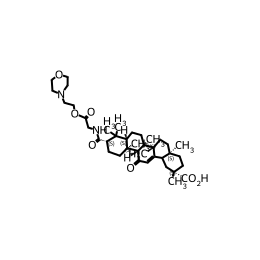 CC1(C)[C@@H](C(=O)NCC(=O)OCCN2CCOCC2)CC[C@]2(C)[C@H]3C(=O)C=C4C5C[C@@](C)(C(=O)O)CC[C@]5(C)CC[C@@]4(C)[C@]3(C)CC[C@@H]12